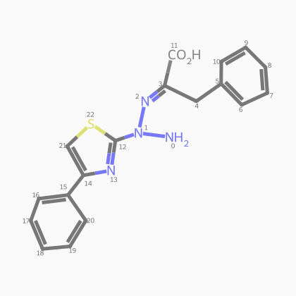 NN(/N=C(\Cc1ccccc1)C(=O)O)c1nc(-c2ccccc2)cs1